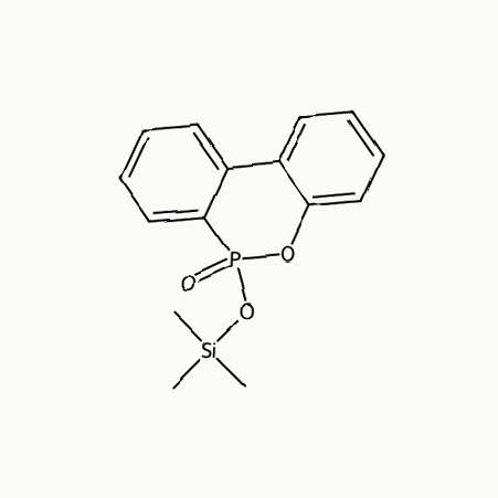 C[Si](C)(C)OP1(=O)Oc2ccccc2-c2ccccc21